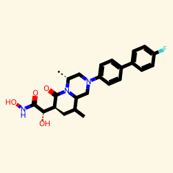 CC1C[C@@H]([C@H](O)C(=O)NO)C(=O)N2C1CN(c1ccc(-c3ccc(F)cc3)cc1)C[C@H]2C